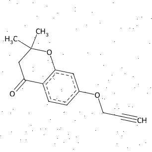 C#CCOc1ccc2c(c1)OC(C)(C)CC2=O